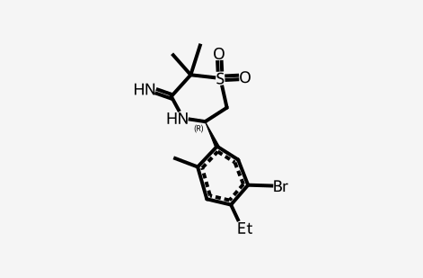 CCc1cc(C)c([C@@H]2CS(=O)(=O)C(C)(C)C(=N)N2)cc1Br